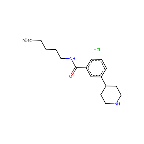 CCCCCCCCCCCCCCNC(=O)c1cccc(C2CCNCC2)c1.Cl